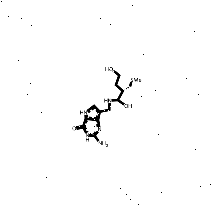 CSC[C@@H](CCO)C(O)NCc1c[nH]c2c(=O)[nH]c(N)nc12